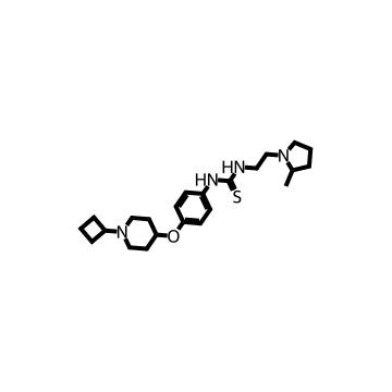 CC1CCCN1CCNC(=S)Nc1ccc(OC2CCN(C3CCC3)CC2)cc1